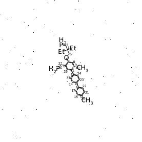 CCC(CC)(CP)COc1cc(C)c(-c2ccc(-c3ccc(C)cc3)cc2)cc1CP